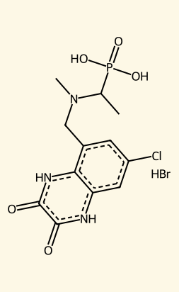 Br.CC(N(C)Cc1cc(Cl)cc2[nH]c(=O)c(=O)[nH]c12)P(=O)(O)O